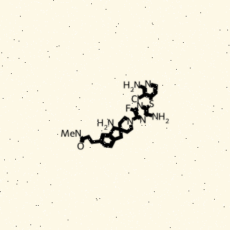 CNC(=O)CCc1ccc2c(c1)[C@@H](N)C1(CCN(c3nc(N)c(Sc4ccnc(N)c4Cl)nc3F)CC1)C2